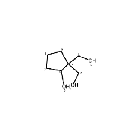 OCC1(CO)CCCC1O